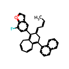 C/C=C\C=C1/CC(c2cccc3ccccc23)=C2C=CC=CCC2=C1c1cc(F)c2occc2c1